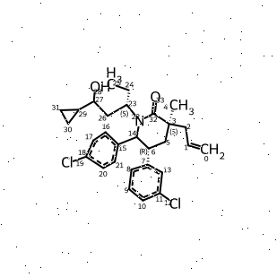 C=CC[C@@]1(C)C[C@H](c2cccc(Cl)c2)C(c2ccc(Cl)cc2)N([C@@H](CC)CC(O)C2CC2)C1=O